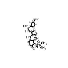 CC[C@@H](Nc1nsnc1Nc1ccc(Cl)c(S(=O)(=O)N(C)C)c1O)c1cc(C(C)C)co1